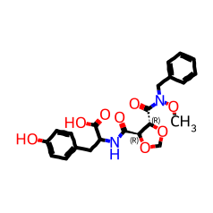 CON(Cc1ccccc1)C(=O)[C@@H]1OCO[C@H]1C(=O)NC(Cc1ccc(O)cc1)C(=O)O